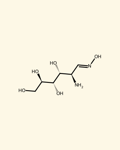 N[C@H](C=NO)[C@@H](O)[C@H](O)[C@H](O)CO